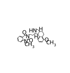 COc1cccc2c1CC[C@@H]1CNC(CCn3c(=O)c4ccccc4n(C)c3=O)[C@@H]21